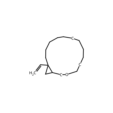 C=CC12CCCCCCCCCCCOCC1C2